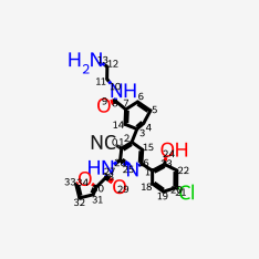 N#Cc1c(-c2cccc(C(=O)NCCN)c2)cc(-c2ccc(Cl)cc2O)nc1NC(=O)c1ccco1